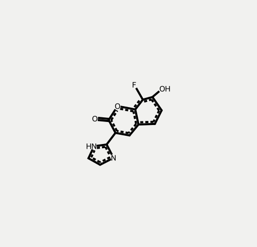 O=c1oc2c(F)c(O)ccc2cc1-c1ncc[nH]1